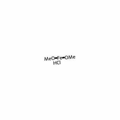 C[O][Fe][O]C.Cl